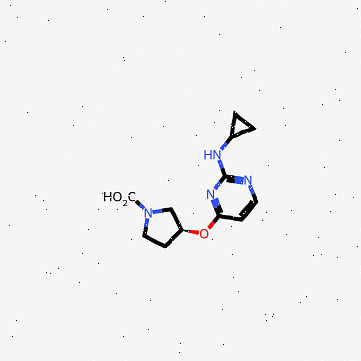 O=C(O)N1CC[C@H](Oc2ccnc(NC3CC3)n2)C1